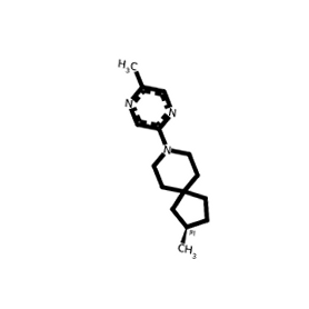 Cc1cnc(N2CCC3(CC[C@@H](C)C3)CC2)cn1